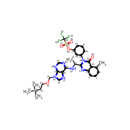 Cc1cccc2nc(C(C)Nc3ncnc4c3ncn4COCC[Si](C)(C)C)n(-c3cccc(OS(=O)(=O)C(F)(F)F)c3)c(=O)c12